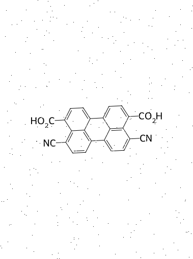 N#Cc1ccc2c3ccc(C#N)c4c(C(=O)O)ccc(c5ccc(C(=O)O)c1c25)c43